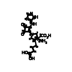 N[C@@]1(C(=O)O)CN(c2c(Nc3ncn[nH]3)c(=O)c2=O)C[C@@H]1CCCB(O)O